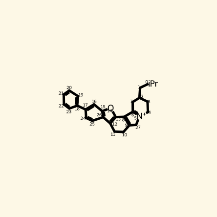 CC(C)CC1CC[N+]2=C(C1)C1=C(CCc3c1oc1cc(-c4ccccc4)ccc31)C2